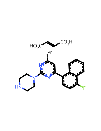 CC(C)c1cc(-c2ccc(F)c3ccccc23)nc(N2CCNCC2)n1.O=C(O)/C=C/C(=O)O